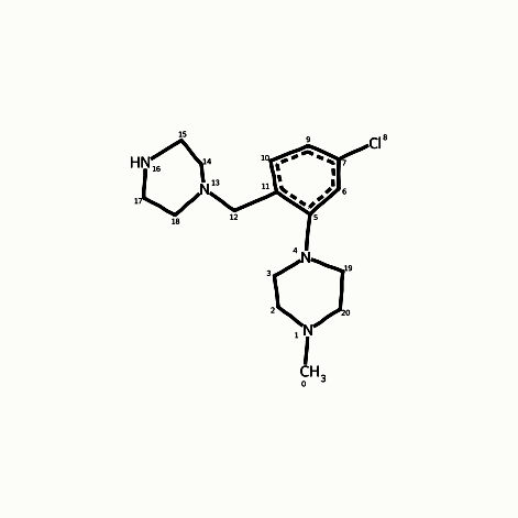 CN1CCN(c2cc(Cl)ccc2CN2CCNCC2)CC1